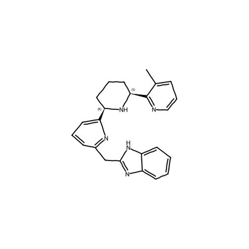 Cc1cccnc1[C@@H]1CCC[C@H](c2cccc(Cc3nc4ccccc4[nH]3)n2)N1